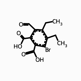 CCc1c(Br)c(C(=O)O)c(C(=O)O)c(C=O)c1CC